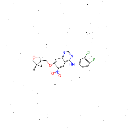 O=[N+]([O-])c1cc2c(Nc3ccc(F)c(Cl)c3)ncnc2cc1OC[C@]12COC[C@H]1C2